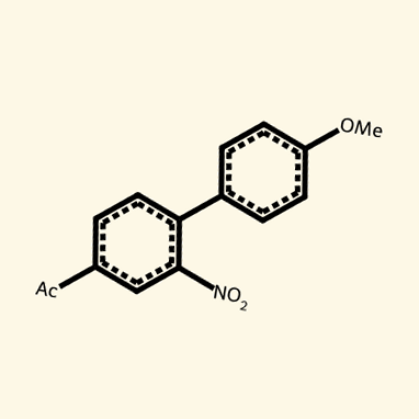 COc1ccc(-c2ccc(C(C)=O)cc2[N+](=O)[O-])cc1